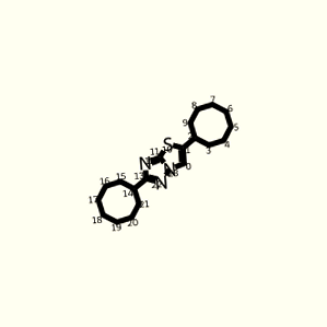 c1c(C2CCCCCCC2)sc2nc(C3CCCCCCC3)nn12